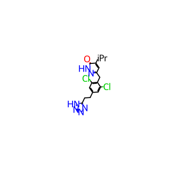 CC(C)c1cc(Cc2c(Cl)cc(CCc3nnn[nH]3)cc2Cl)n[nH]c1=O